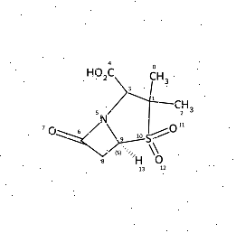 CC1(C)C(C(=O)O)N2C(=O)C[C@@H]2S1(=O)=O